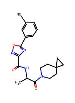 CC(NC(=O)c1noc(-c2cccc(C#N)c2)n1)C(=O)N1CCC2(CC1)CC2